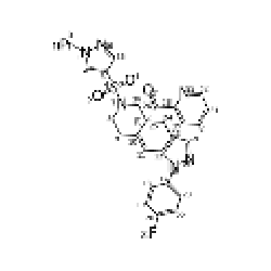 CCCn1cc(S(=O)(=O)N2CCC3=Cc4c(cnn4-c4ccc(F)cc4)C[C@]3(C(=O)c3ccccn3)C2)cn1